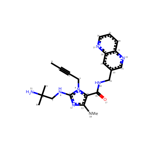 CC#CCn1c(NCC(C)(C)N)nc(NC)c1C(=O)NCc1cnc2cccnc2c1